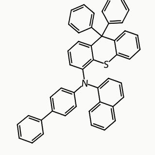 c1ccc(-c2ccc(N(c3cccc4c3Sc3ccccc3C4(c3ccccc3)c3ccccc3)c3cccc4ccccc34)cc2)cc1